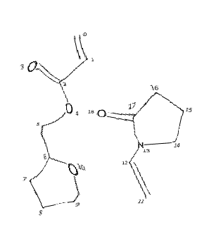 C=CC(=O)OCC1CCCO1.C=CN1CCCC1=O